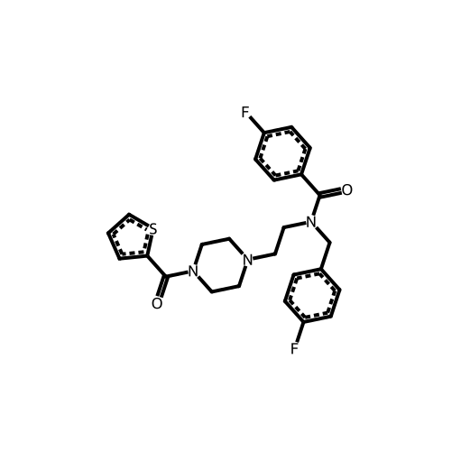 O=C(c1ccc(F)cc1)N(CCN1CCN(C(=O)c2cccs2)CC1)Cc1ccc(F)cc1